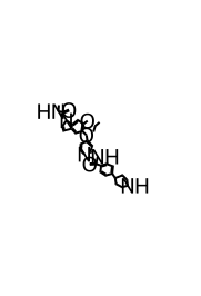 CNC(=O)n1ccc2cc(Oc3ccnc(NC(=O)c4ccc(C5CCNCC5)cc4)c3)c(OC(C)C)cc21